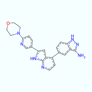 Nc1n[nH]c2ccc(-c3ccnc4[nH]c(-c5ccc(N6CCOCC6)nc5)cc34)cc12